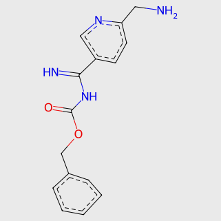 N=C(NC(=O)OCc1ccccc1)c1ccc(CN)nc1